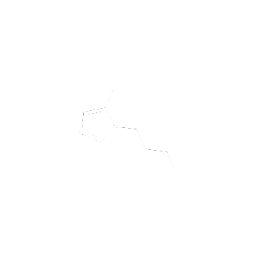 Cc1cncn1CCCO